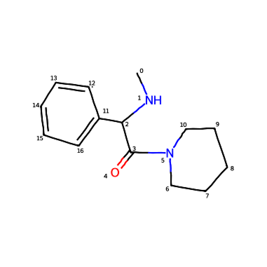 CNC(C(=O)N1CCCCC1)c1[c]cccc1